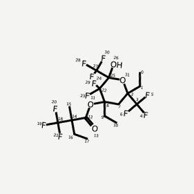 CCC1(C(F)(F)F)CC(CC)(OC(=O)C(C)(CC)C(F)(F)F)C(F)(F)C(O)(C(F)(F)F)O1